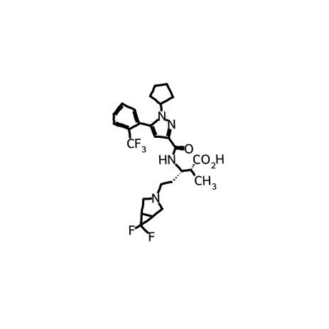 C[C@@H](C(=O)O)[C@H](CCN1CC2C(C1)C2(F)F)NC(=O)c1cc(-c2ccccc2C(F)(F)F)n(C2CCCC2)n1